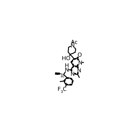 C#C[C@@H](Nc1nc(C)nc2c1cc(C1(O)CCN(C(C)=O)CC1)c(=O)n2C)c1cccc(C(F)(F)F)c1C